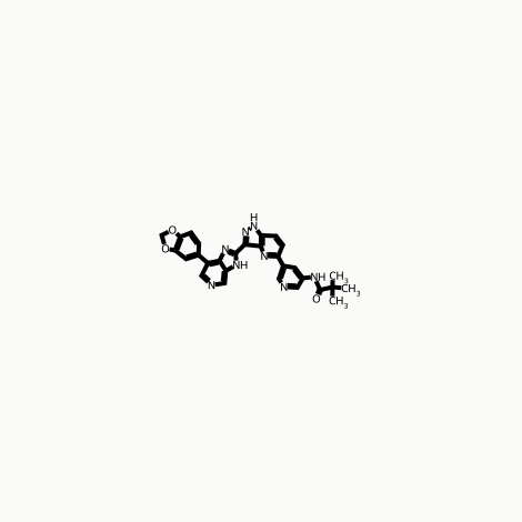 CC(C)(C)C(=O)Nc1cncc(-c2ccc3[nH]nc(-c4nc5c(-c6ccc7c(c6)OCO7)cncc5[nH]4)c3n2)c1